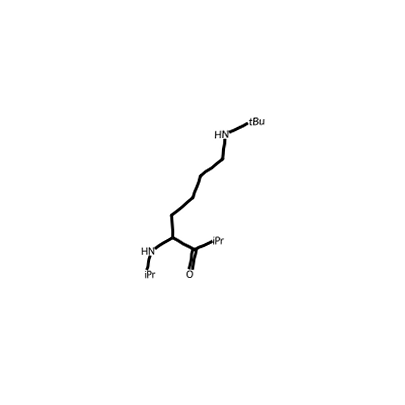 CC(C)NC(CCCCNC(C)(C)C)C(=O)C(C)C